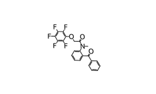 CN(C(=O)COc1c(F)c(F)c(F)c(F)c1F)c1ccccc1C(=O)c1ccccc1